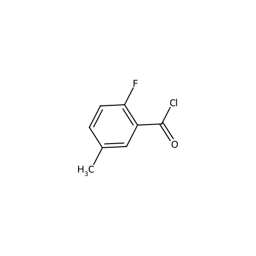 Cc1ccc(F)c(C(=O)Cl)c1